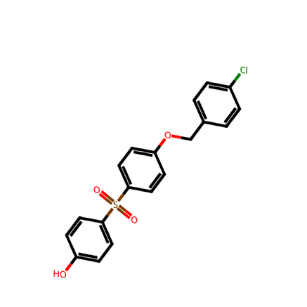 O=S(=O)(c1ccc(O)cc1)c1ccc(OCc2ccc(Cl)cc2)cc1